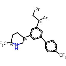 CC(=O)[C@H](CC(C)C)c1cc(-c2ccc(C(F)(F)F)cc2)cc([C@@H]2CC[C@H](C(F)(F)F)NC2)c1